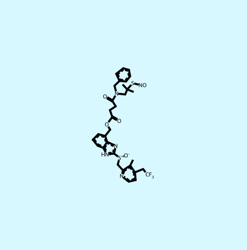 Cc1c(CC(F)(F)F)ccnc1C[S+]([O-])c1nc2c(COC(=O)CCC(=O)N(Cc3ccccc3)CC(C)(C)SN=O)cccc2[nH]1